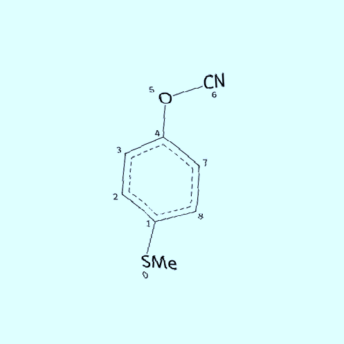 CSc1ccc(OC#N)cc1